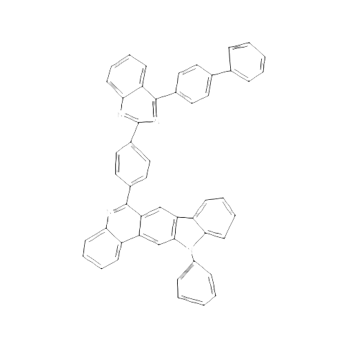 c1ccc(-c2ccc(-c3nc(-c4ccc(-c5nc6ccccc6c6cc7c(cc56)c5ccccc5n7-c5ccccc5)cc4)nc4ccccc34)cc2)cc1